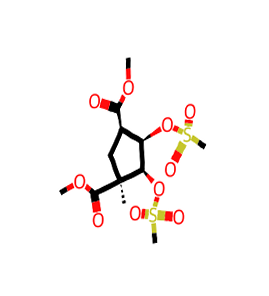 COC(=O)[C@@H]1C[C@](C)(C(=O)OC)[C@H](OS(C)(=O)=O)[C@@H]1OS(C)(=O)=O